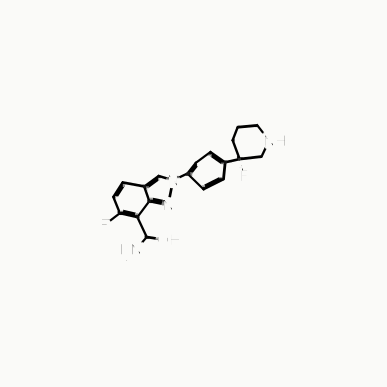 NC(O)c1c(F)ccc2cn(-c3ccc([C@@]4(F)CCCNC4)cc3)nc12